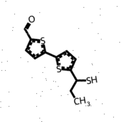 CCC(S)c1ccc(-c2ccc(C=O)s2)s1